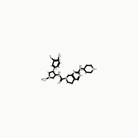 CN1CC(NC(=O)N2CCc3cnc(NC4CCOCC4)nc3C2)[C@H](c2ccc(Cl)c(F)c2)C1